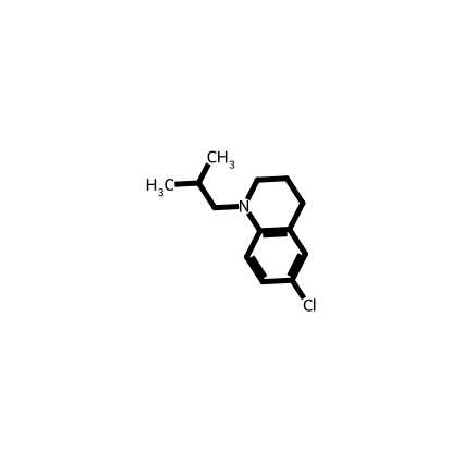 CC(C)CN1CCCc2cc(Cl)ccc21